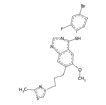 COc1cc2c(Nc3ccc(Br)cc3F)ncnc2cc1CCCc1csc(C)n1